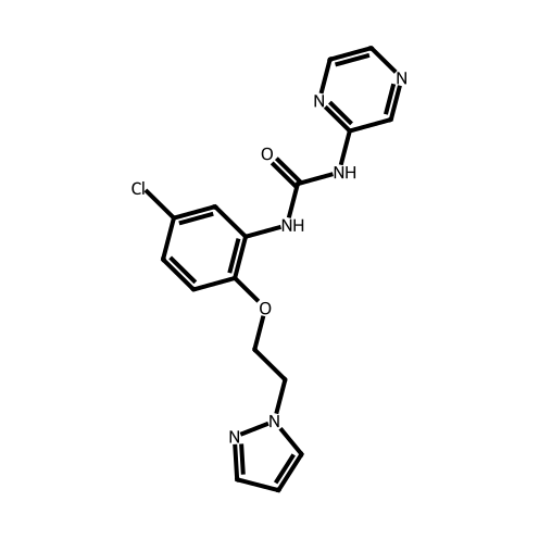 O=C(Nc1cnccn1)Nc1cc(Cl)ccc1OCCn1cccn1